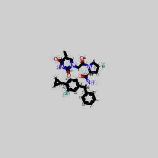 Cc1cn(CC(=O)N2C[C@H](F)C[C@H]2C(=O)N[C@@H](c2ccccc2)c2ccc(C3CC3)c(F)c2)c(=O)[nH]c1=O